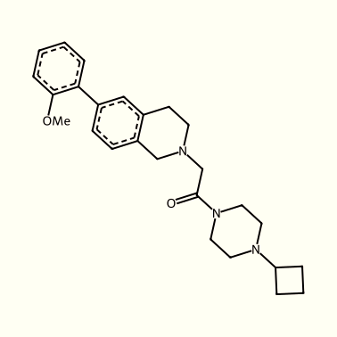 COc1ccccc1-c1ccc2c(c1)CCN(CC(=O)N1CCN(C3CCC3)CC1)C2